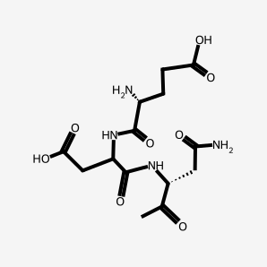 CC(=O)[C@@H](CC(N)=O)NC(=O)C(CC(=O)O)NC(=O)[C@H](N)CCC(=O)O